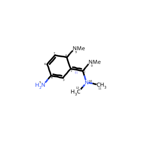 CN/C(=C1/C=C(N)C=CC1NC)N(C)C